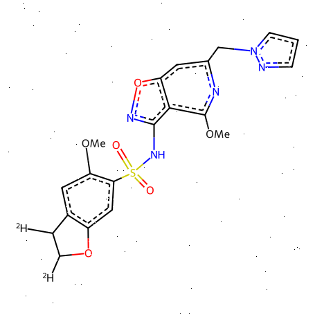 [2H]C1Oc2cc(S(=O)(=O)Nc3noc4cc(Cn5cccn5)nc(OC)c34)c(OC)cc2C1[2H]